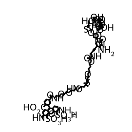 CS(=S)CO[C@H]1CC(n2cc(C#CCNC(=O)OCCCCOCSSC(C)(C)CCONCCOCCOCCNC(=O)c3ccc(C(=O)O)c(-c4c5ccc(=N)c(S(=O)(=O)O)c-5oc5c(S(=O)(=O)O)c(N)ccc45)c3)c(N)nc2=O)O[C@@H]1COP(=O)(O)OP(=O)(O)O[PH](O)(O)O